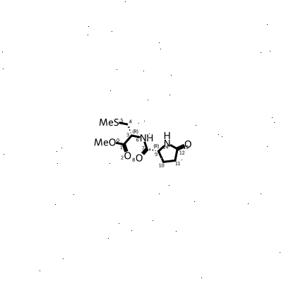 COC(=O)[C@H](CSC)NC(=O)[C@H]1CCC(=O)N1